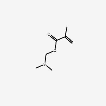 C=C(C)C(=O)OC[Si](C)C